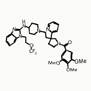 COc1cc(C(=O)N2CCC(CCN3CCC(Nc4nc5ccccc5n4CCOC(F)(F)F)CC3)(c3ccccn3)C2)cc(OC)c1OC